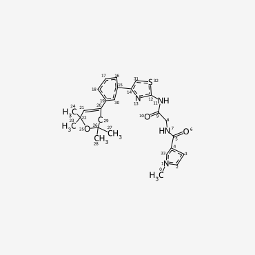 Cn1ccc(C(=O)NCC(=O)Nc2nc(-c3cccc(C4=CC(C)(C)OC(C)(C)C4)c3)cs2)c1